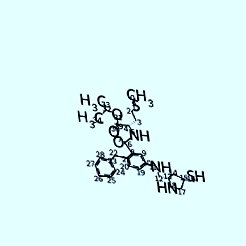 CSCC[C@H](NC(=O)c1cc(NC[C@@H]2C[C@H](S)CN2)ccc1Cc1ccccc1)C(=O)OC(C)C